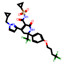 O=C1NC(c2ccc(OCCCC(F)(F)F)cc2)(C(F)(F)F)CC(c2ccn(CC3CC3)n2)=C1C(=O)NS(=O)(=O)C1CC1